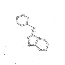 c1cncc(/N=c2\snc3ccccn23)c1